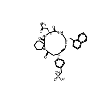 NC(=O)C[C@@H]1NC(=O)C2(CCCCC2)NC(=O)C[C@@H](c2ccc(CP(=O)(O)O)cc2)C=CC[C@@H](Cc2cccc3ccccc23)CNC1=O